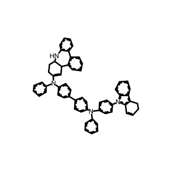 C1=Cc2c(c3ccccc3n2-c2ccc(N(c3ccccc3)c3ccc(-c4ccc(N(C5=CC6c7ccccc7-c7ccccc7NC6CC5)c5ccccc5)cc4)cc3)cc2)CC1